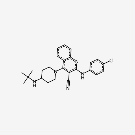 CC(C)(C)NC1CCN(c2c(C#N)c(Nc3ccc(Cl)cc3)nc3ccccc23)CC1